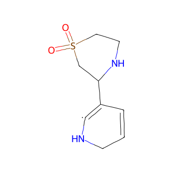 O=S1(=O)CCNC(C2=[C]NCC=C2)C1